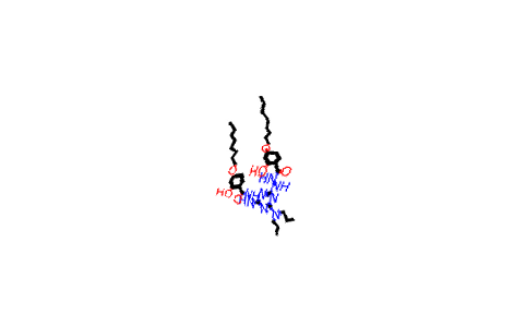 CCCCCCCCOc1ccc(C(=O)NNc2nc(NNC(=O)c3ccc(OCCCCCCCC)cc3O)nc(N(CCC)CCC)n2)c(O)c1